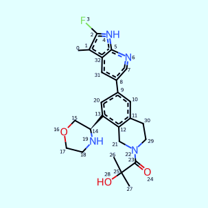 Cc1c(F)[nH]c2ncc(-c3cc4c(c([C@@H]5COCCN5)c3)CN(C(=O)C(C)(C)O)CC4)cc12